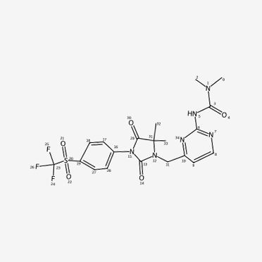 CN(C)C(=O)Nc1nccc(CN2C(=O)N(c3ccc(S(=O)(=O)C(F)(F)F)cc3)C(=O)C2(C)C)n1